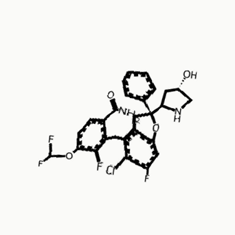 NC(=O)c1ccc(OC(F)F)c(F)c1-c1c(Cl)c(F)cc2c1C[C@](c1ccccc1)(C1C[C@H](O)CN1)O2